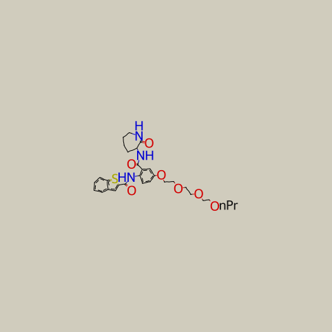 CCCOCCOCCOCCOc1ccc(NC(=O)c2cc3ccccc3s2)c(C(=O)NC2CCCCNC2=O)c1